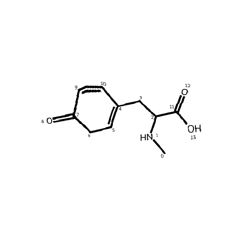 CNC(CC1=CCC(=O)C=C1)C(=O)O